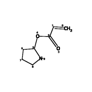 C=CC(=O)OC1CCC[N]1